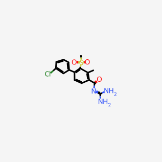 Cc1c(C(=O)N=C(N)N)ccc(-c2cccc(Cl)c2)c1S(C)(=O)=O